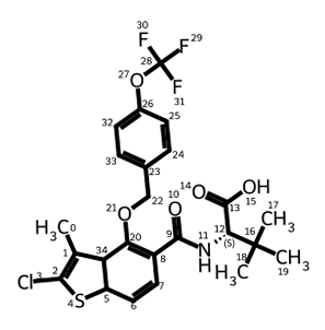 CC1=C(Cl)SC2C=CC(C(=O)N[C@H](C(=O)O)C(C)(C)C)=C(OCc3ccc(OC(F)(F)F)cc3)C12